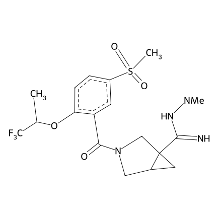 CNNC(=N)C12CC1CN(C(=O)c1cc(S(C)(=O)=O)ccc1OC(C)C(F)(F)F)C2